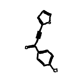 O=C(C#Cc1cccs1)c1ccc(Cl)cc1